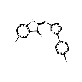 O=C1C(=Cc2ccc(-c3ccc(F)cc3)o2)Oc2ccc(Br)cc21